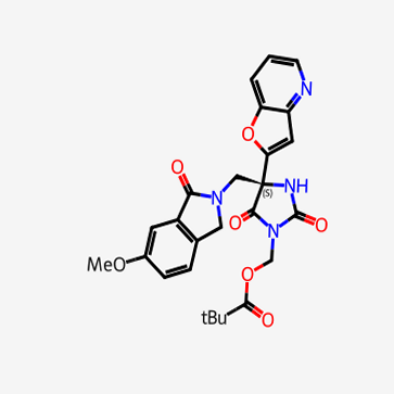 COc1ccc2c(c1)C(=O)N(C[C@@]1(c3cc4ncccc4o3)NC(=O)N(COC(=O)C(C)(C)C)C1=O)C2